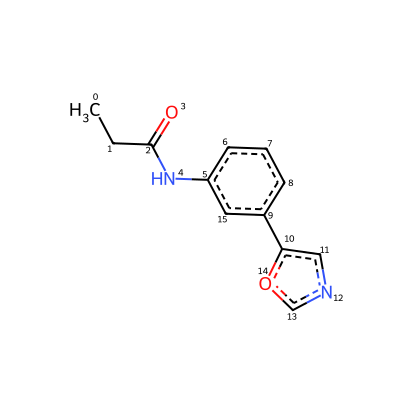 CCC(=O)Nc1cccc(-c2cnco2)c1